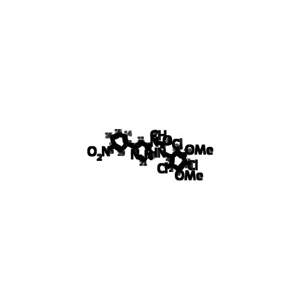 COc1c(Cl)c(NC(=O)N(C)c2cc(-c3cccc([N+](=O)[O-])c3)ncn2)c(Cl)c(OC)c1Cl